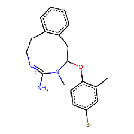 Cc1cc(Br)ccc1OC1Cc2ccccc2CC/N=C(/N)N1C